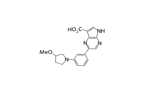 COC1CCN(c2cccc(-c3cnc4[nH]cc(C(=O)O)c4n3)c2)C1